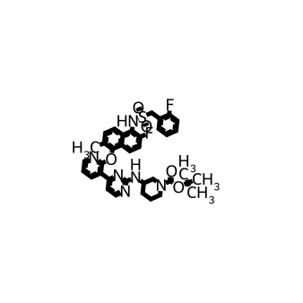 Cc1ccc2c(NS(=O)(=O)Cc3ccccc3F)c(F)ccc2c1Oc1ncccc1-c1ccnc(NC2CCCN(C(=O)OC(C)(C)C)C2)n1